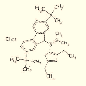 CCC1=CC(CC)=[C]([Ti+2]([CH]2c3cc(C(C)(C)C)ccc3-c3ccc(C(C)(C)C)cc32)=[Si](C)C)C1.[Cl-].[Cl-]